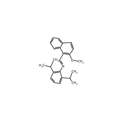 COc1ccc2ccccc2c1C=Nc1c(C(C)C)cccc1C(C)C